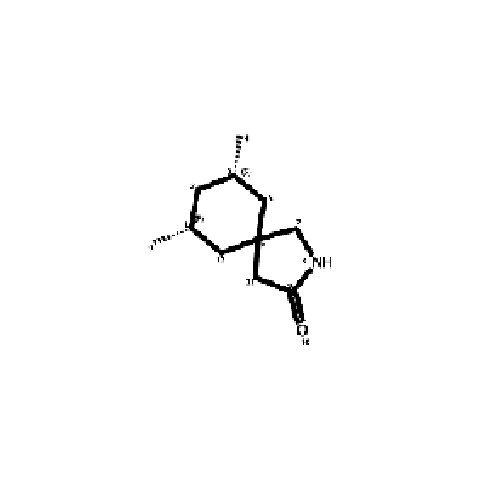 C[C@@H]1C[C@H](C)CC2(CNC(=O)C2)C1